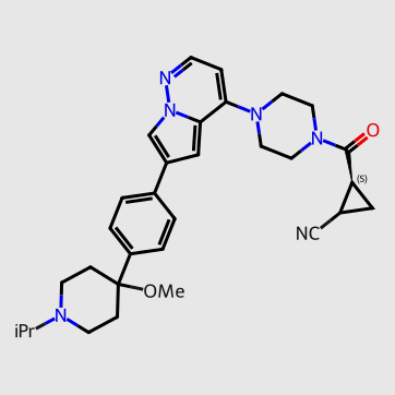 COC1(c2ccc(-c3cc4c(N5CCN(C(=O)[C@H]6CC6C#N)CC5)ccnn4c3)cc2)CCN(C(C)C)CC1